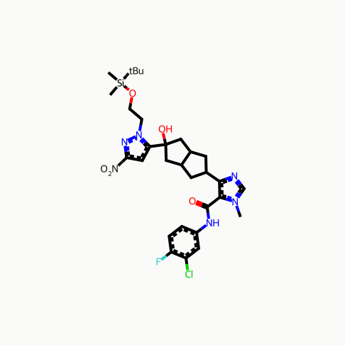 Cn1cnc(C2CC3CC(O)(c4cc([N+](=O)[O-])nn4CCO[Si](C)(C)C(C)(C)C)CC3C2)c1C(=O)Nc1ccc(F)c(Cl)c1